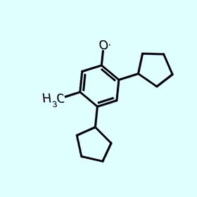 Cc1cc([O])c(C2CCCC2)cc1C1CCCC1